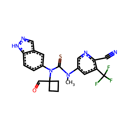 CN(C(=S)N(c1ccc2[nH]ncc2c1)C1(C=O)CCC1)c1cnc(C#N)c(C(F)(F)F)c1